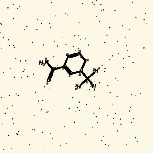 [2H]C([2H])([2H])N1C=C(C(N)=O)C=CC1